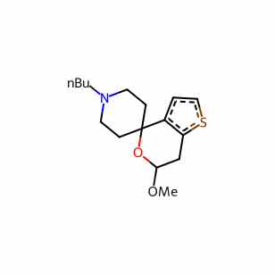 CCCCN1CCC2(CC1)OC(OC)Cc1sccc12